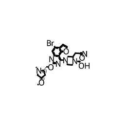 CO[C@@H]1C[C@@H](COc2nc(N3CCN(C(=O)O)C(CC#N)C3)c3c(cc(Br)c4ccoc43)n2)N(C)C1